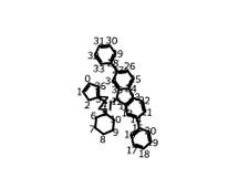 C1=CC[C]([Zr](=[C]2CCCCC2)[CH]2c3cc(-c4ccccc4)ccc3-c3ccc(-c4ccccc4)cc32)=C1